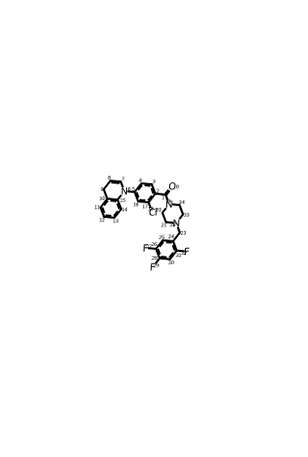 O=C(c1ccc(N2C=CCc3ccccc32)cc1Cl)N1CCN(Cc2cc(F)c(F)cc2F)CC1